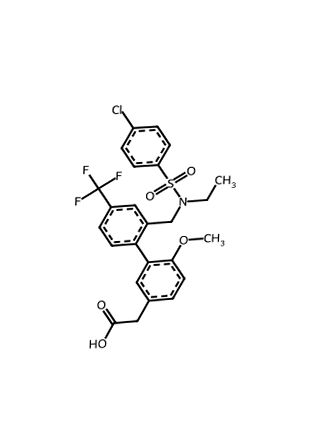 CCN(Cc1cc(C(F)(F)F)ccc1-c1cc(CC(=O)O)ccc1OC)S(=O)(=O)c1ccc(Cl)cc1